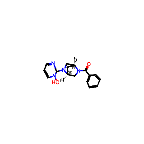 O=C(c1ccccc1)N1C[C@@H]2C[C@H]1CN2C1N=CC=CN1O